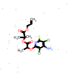 C=CCOC(=O)C(C)(C)OC(=O)C(C)Oc1nc(F)c(Cl)c(N)c1Cl